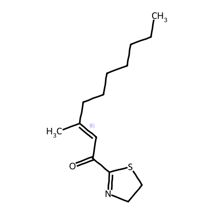 CCCCCCC/C(C)=C/C(=O)C1=NCCS1